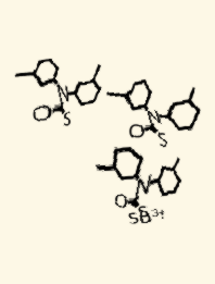 CC1CCCC(N(C([O-])=S)C2CCCC(C)C2)C1.CC1CCCC(N(C([O-])=S)C2CCCC(C)C2)C1.CC1CCCC(N(C([O-])=S)C2CCCC(C)C2)C1.[Sb+3]